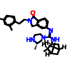 Cc1ccc(CCN2Cc3cc(N=C(N[C@H]4C[C@@H]5C[C@@H]([C@H]4C)C5(C)C)N4CCN[C@@H](C)C4)ccc3C2=O)c(C)c1